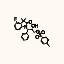 Cc1ccc(S(=O)(=O)OC[C@@H](O)[C@H](c2ccccc2)N2C(=O)C(C)(C)c3c(F)cccc32)cc1